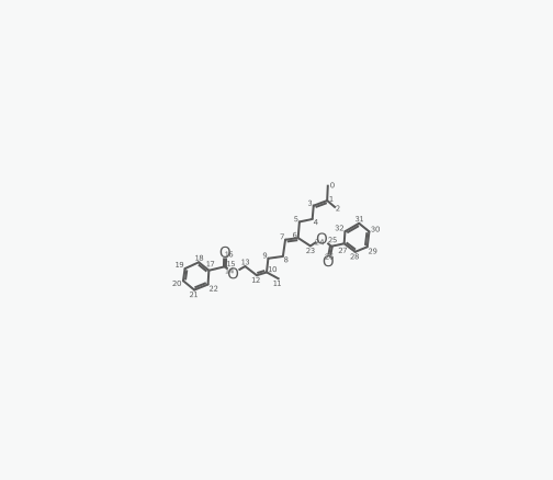 CC(C)=CCCC(=CCCC(C)=CCOC(=O)c1ccccc1)COC(=O)c1ccccc1